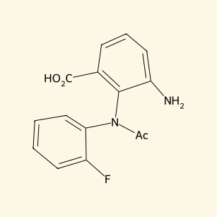 CC(=O)N(c1ccccc1F)c1c(N)cccc1C(=O)O